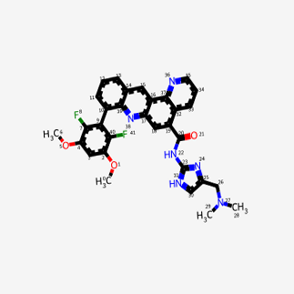 COc1cc(OC)c(F)c(-c2cccc3cc4c(cc(C(=O)Nc5nc(CN(C)C)c[nH]5)c5cccnc54)nc23)c1F